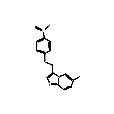 Cc1ccc2ncc(CSc3ccc([N+](=O)[O-])cc3)n2c1